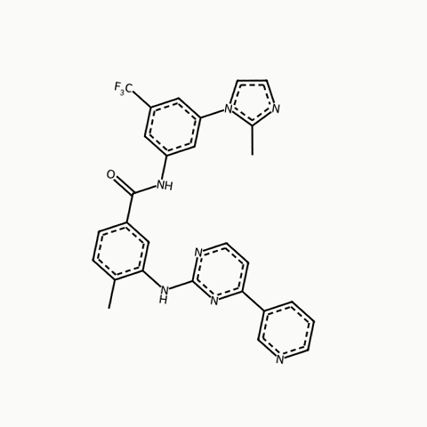 Cc1ccc(C(=O)Nc2cc(-n3ccnc3C)cc(C(F)(F)F)c2)cc1Nc1nccc(-c2cccnc2)n1